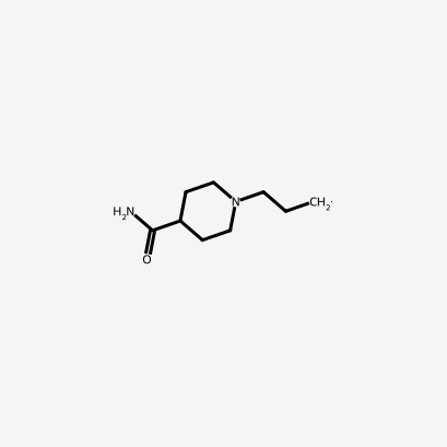 [CH2]CCN1CCC(C(N)=O)CC1